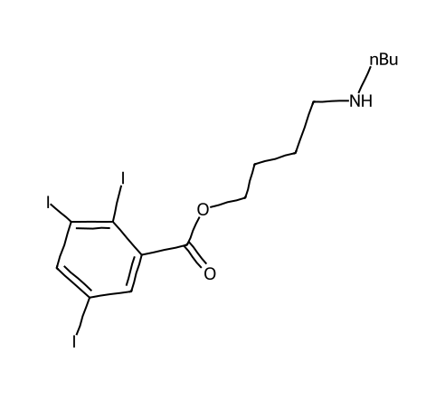 CCCCNCCCCOC(=O)c1cc(I)cc(I)c1I